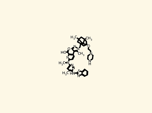 Cc1cc(N(C)c2ccc(-c3cnn(CC45CC6(C)CC(C)(C4)CC(OCCN4CCNCC4)(C6)C5)c3C)c(C(=O)O)n2)nnc1Nc1nc2ccccc2s1